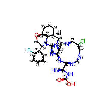 N=C(NC(=O)O)C1=N/C=N\C=C(Cl)/C=N/C=c2/c(nc3n2C[C@@H]2CCCC4=C2N3[C@H](c2ccccc2F)CO4)=N\1